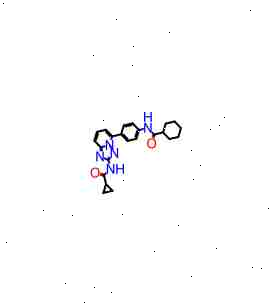 O=C(Nc1ccc(-c2cccc3nc(NC(=O)C4CC4)nn23)cc1)C1CCCCC1